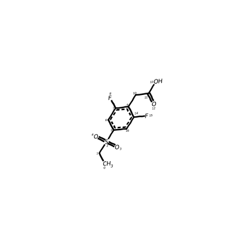 CCS(=O)(=O)c1cc(F)c(CC(=O)O)c(F)c1